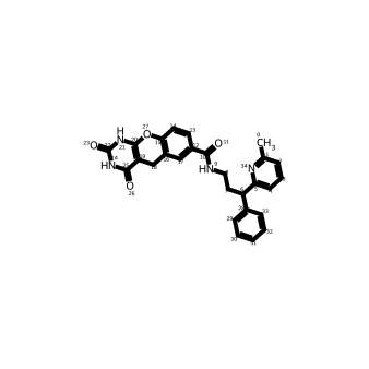 Cc1cccc(C(CCNC(=O)c2ccc3c(c2)Cc2c([nH]c(=O)[nH]c2=O)O3)c2ccccc2)n1